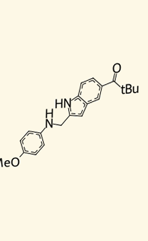 COc1ccc(NCc2cc3cc(C(=O)C(C)(C)C)ccc3[nH]2)cc1